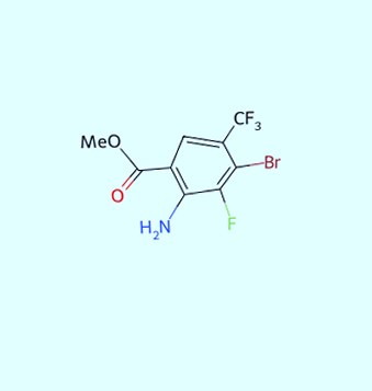 COC(=O)c1cc(C(F)(F)F)c(Br)c(F)c1N